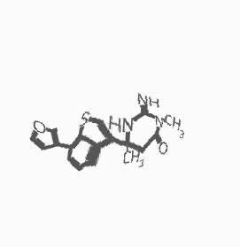 CN1C(=N)N[C@](C)(c2csc3c(-c4ccoc4)cccc23)CC1=O